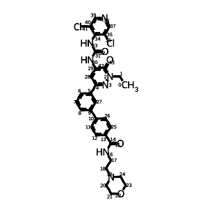 CCn1nc(-c2cccc(-c3ccc(C(=O)NCCN4CCOCC4)cc3)c2)cc(NC(=O)Nc2c(Cl)cncc2Cl)c1=O